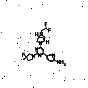 C[C@]1(F)CCN(c2nc(-c3ccc(N)nc3)cc(N3C[C@@H]4C[C@H]3CN4CC(F)F)n2)C1